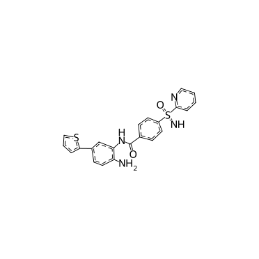 N=S(=O)(c1ccc(C(=O)Nc2cc(-c3cccs3)ccc2N)cc1)c1ccccn1